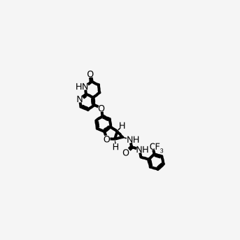 O=C1CCc2c(Oc3ccc4c(c3)[C@H]3[C@H](NC(=O)NCc5ccccc5C(F)(F)F)[C@H]3O4)ccnc2N1